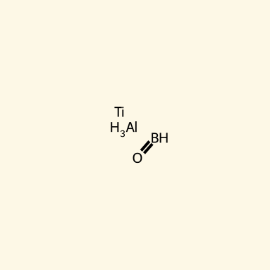 B=O.[AlH3].[Ti]